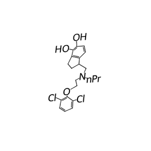 CCCN(CCOc1c(Cl)cccc1Cl)CC1CCc2c1ccc(O)c2O